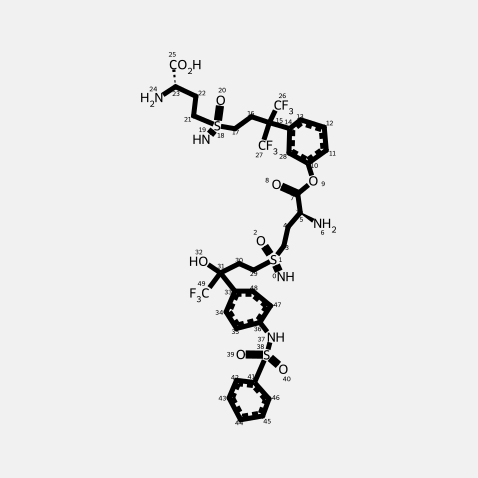 N=S(=O)(CC[C@H](N)C(=O)Oc1cccc(C(CCS(=N)(=O)CC[C@H](N)C(=O)O)(C(F)(F)F)C(F)(F)F)c1)CCC(O)(c1ccc(NS(=O)(=O)c2ccccc2)cc1)C(F)(F)F